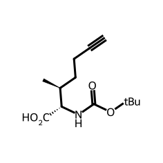 C#CCC[C@H](C)[C@H](NC(=O)OC(C)(C)C)C(=O)O